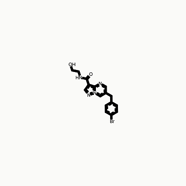 O=C(NCCO)c1cnn2cc(Cc3ccc(Br)cc3)cnc12